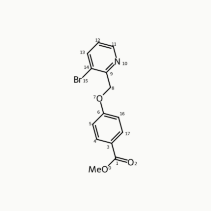 COC(=O)c1ccc(OCc2ncccc2Br)cc1